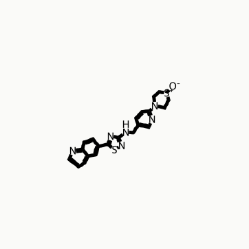 [O-][S+]1CCN(c2ccc(CNc3nsc(-c4ccc5ncccc5c4)n3)cn2)CC1